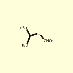 CCCCC(O[C]=O)C(C)(C)C